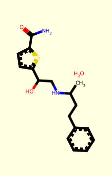 CC(CCc1ccccc1)NCC(O)c1ccc(C(N)=O)s1.O